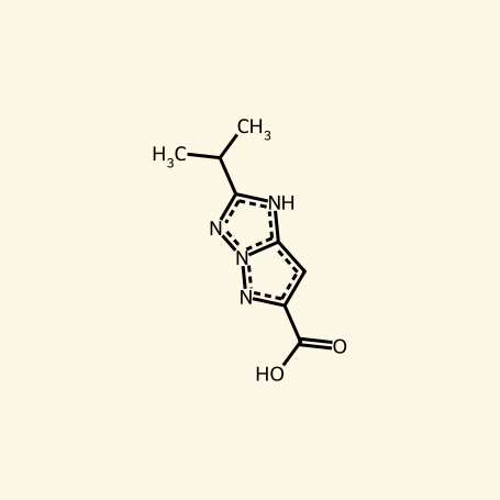 CC(C)c1nn2nc(C(=O)O)cc2[nH]1